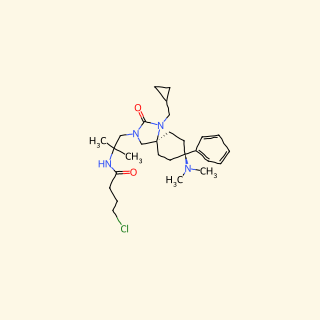 CN(C)[C@]1(c2ccccc2)CC[C@]2(CC1)CN(CC(C)(C)NC(=O)CCCCl)C(=O)N2CC1CC1